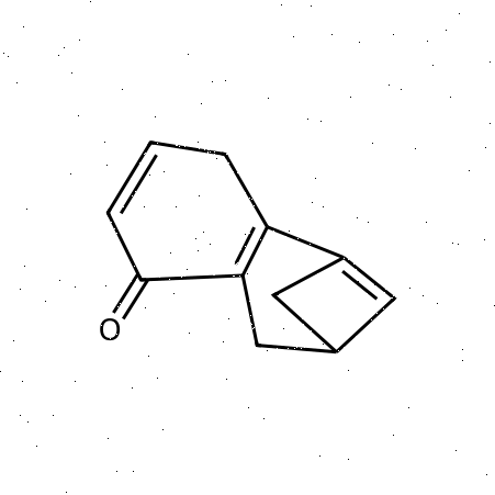 O=C1C=CCC2=C1CC1C=C2C1